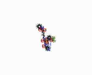 O=C(NCC(C(=O)NCCCCCC(=O)c1nc2ccccc2o1)S(=O)(=O)Cc1ccccc1OC(F)F)c1ccncc1